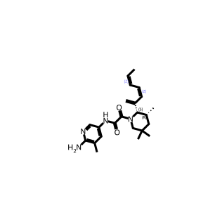 C=C(/C=C\C=C/C)[C@@H]1[C@H](C)CC(C)(C)CN1C(=O)C(=O)Nc1cnc(N)c(C)c1